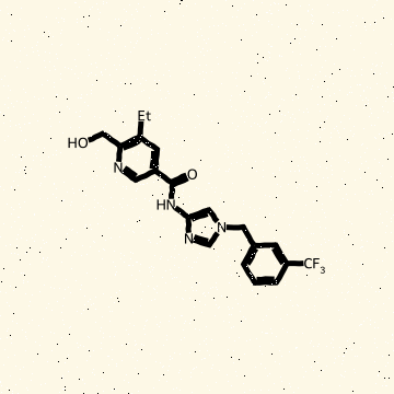 CCc1cc(C(=O)Nc2cn(Cc3cccc(C(F)(F)F)c3)cn2)cnc1CO